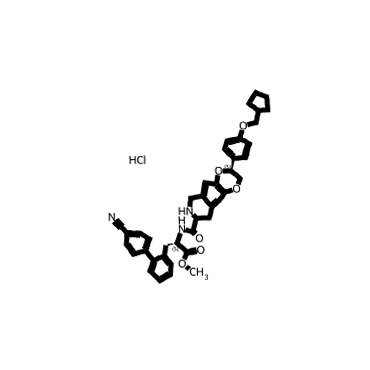 COC(=O)[C@H](Cc1ccccc1-c1ccc(C#N)cc1)NC(=O)C1Cc2cc3c(cc2CN1)O[C@@H](c1ccc(OCC2CCCC2)cc1)CO3.Cl